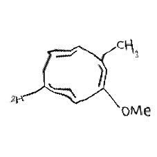 [2H]c1ccc(C)c(OC)c1